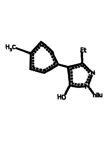 CCCCn1nc(CC)c(-c2ccc(C)cc2)c1O